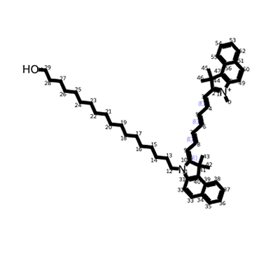 C[N+]1=C(/C=C/C=C/C=C/C=C2/N(CCCCCCCCCCCCCCCCCCO)c3ccc4ccccc4c3C2(C)C)C(C)(C)c2c1ccc1ccccc21